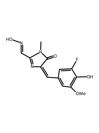 COc1cc(/C=C2N=C(/C=N/O)N(C)C/2=O)cc(F)c1O